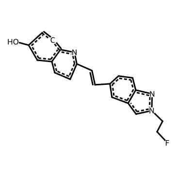 Oc1ccc2nc(/C=C/c3ccc4nn(CCF)cc4c3)ccc2c1